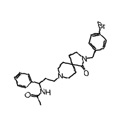 CC(=O)NC(CCN1CCC2(CC1)CCN(Cc1ccc(Br)cc1)C2=O)c1ccccc1